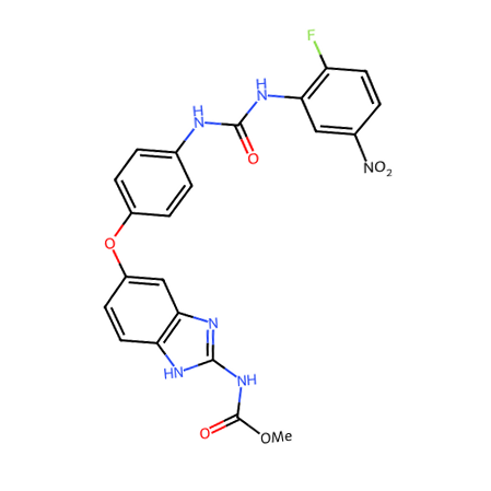 COC(=O)Nc1nc2cc(Oc3ccc(NC(=O)Nc4cc([N+](=O)[O-])ccc4F)cc3)ccc2[nH]1